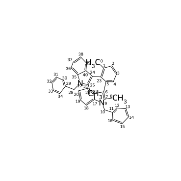 Cc1cccc(-c2c(C)n(Cc3ccccc3)c3ccccc23)c1-c1c(C)n(Cc2ccccc2)c2ccccc12